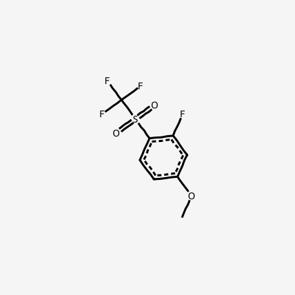 COc1ccc(S(=O)(=O)C(F)(F)F)c(F)c1